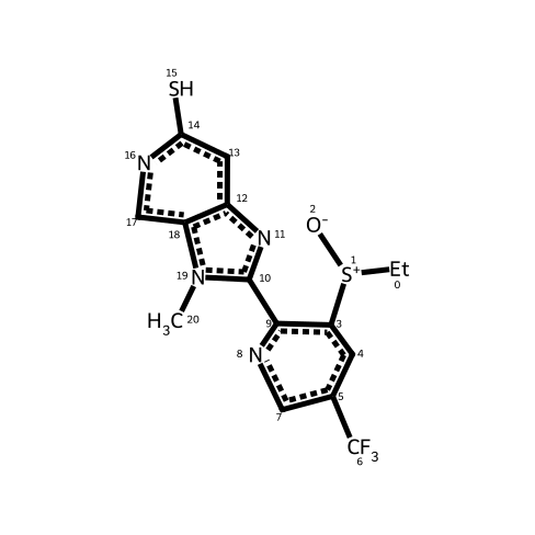 CC[S+]([O-])c1cc(C(F)(F)F)cnc1-c1nc2cc(S)ncc2n1C